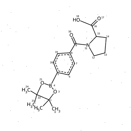 CC1(C)OB(c2ccc(C(=O)N3CCCC3C(=O)O)cc2)OC1(C)C